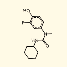 CN(C(=O)NC1CCCCC1)c1ccc(O)c(F)c1